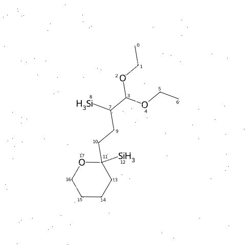 CCOC(OCC)C([SiH3])CCC1([SiH3])CCCCO1